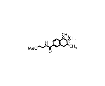 COCCNC(=O)c1ccc2c(c1)CC(C)[C@H](C)N2C